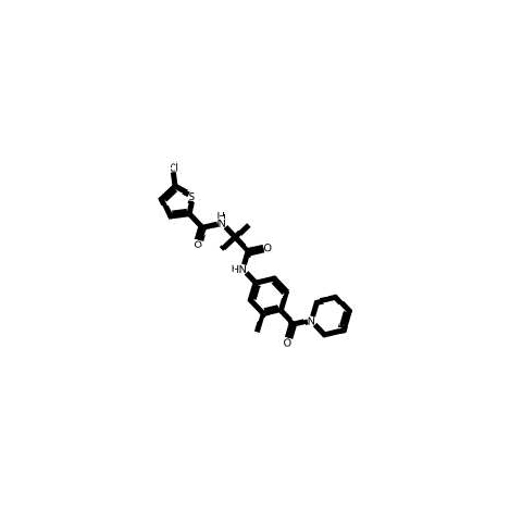 Cc1cc(NC(=O)C(C)(C)NC(=O)c2ccc(Cl)s2)ccc1C(=O)N1CC=CCC1